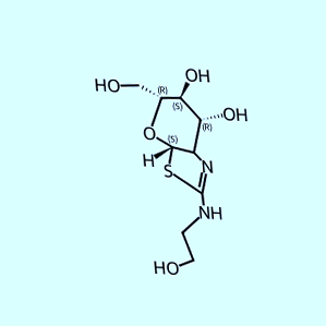 OCCNC1=NC2[C@@H](O)[C@H](O)[C@@H](CO)O[C@H]2S1